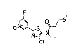 CCN(C(=O)CCSC)c1sc(-c2cc(F)c[n+]([O-])c2)nc1Cl